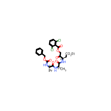 CCOC(=O)C[C@@H](NC(=O)[C@H](C)NC(=O)[C@@H](NC(=O)OCc1ccccc1)C(C)C)C(=O)COC(=O)c1c(Cl)cccc1Cl